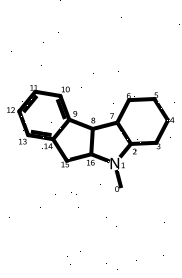 CN1C2CCCCC2C2c3ccccc3CC21